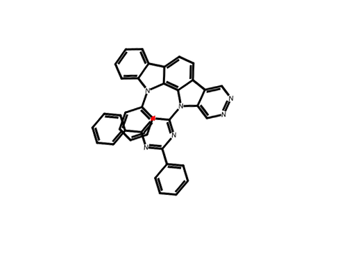 c1ccc(-c2nc(-c3ccccc3)nc(-n3c4cnncc4c4ccc5c6ccccc6n(-c6ccccc6)c5c43)n2)cc1